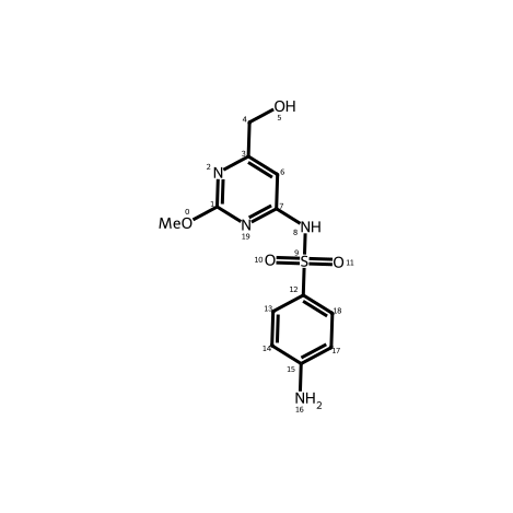 COc1nc(CO)cc(NS(=O)(=O)c2ccc(N)cc2)n1